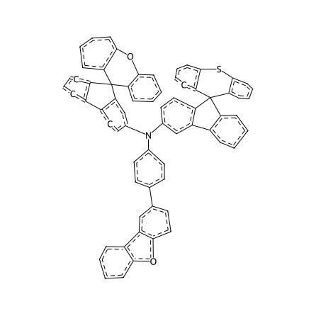 c1ccc2c(c1)Oc1ccccc1C21c2ccccc2-c2ccc(N(c3ccc(-c4ccc5oc6ccccc6c5c4)cc3)c3ccc4c(c3)-c3ccccc3C43c4ccccc4Sc4ccccc43)cc21